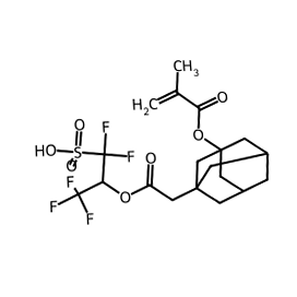 C=C(C)C(=O)OC12CC3CC(CC(CC(=O)OC(C(F)(F)F)C(F)(F)S(=O)(=O)O)(C3)C1)C2